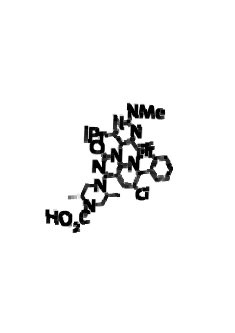 CNc1nc(C(C)C)c(-n2c(=O)nc(N3C[C@@H](C)N(C(=O)O)C[C@@H]3C)c3cc(Cl)c(-c4ccccc4F)nc32)c(C(C)C)n1